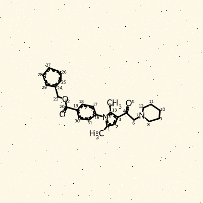 Cc1cc(C(=O)CN2CCCCC2)c(C)n1-c1ccc(C(=O)OCc2ccccc2)cc1